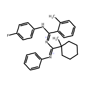 Cc1ccccc1/C(=N\C(=N/c1ccccc1)C1(C)CCCCC1)Nc1ccc(F)cc1